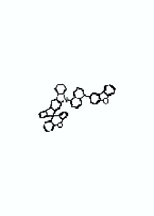 C1=CC2C(c3ccc4oc5ccccc5c4c3)=CC=CC2C(n2c3ccccc3c3cc4c(cc32)C2(c3ccccc3Oc3ccccc32)c2ccccc2-4)=C1